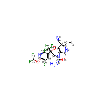 Cc1ncc2c(c1C#N)OC(c1cnc(OC(F)F)c(Cl)c1)(C(F)(F)F)CN2C(N)=O